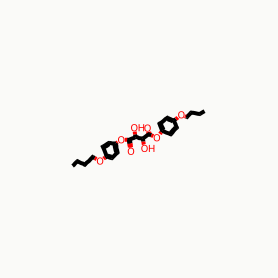 CCCCOc1ccc(OC(=O)C(O)C(O)C(=O)Oc2ccc(OCCCC)cc2)cc1